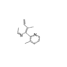 C=C/C(C)=C(\N=C/C)c1ncccc1C